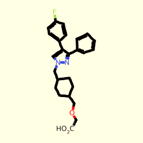 O=C(O)COCC1CCC(Cn2cc(-c3ccc(F)cc3)c(-c3ccccc3)n2)CC1